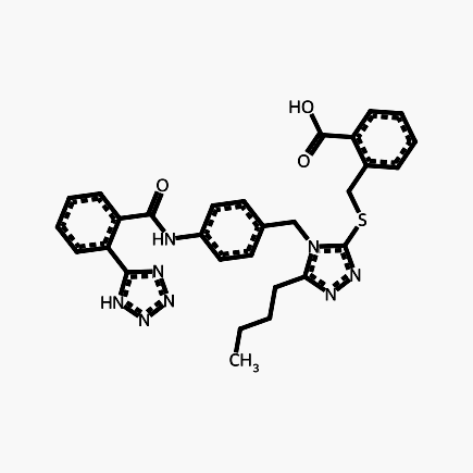 CCCCc1nnc(SCc2ccccc2C(=O)O)n1Cc1ccc(NC(=O)c2ccccc2-c2nnn[nH]2)cc1